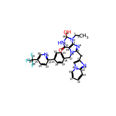 CCN1c2nc(Cc3cn4ccccc4n3)n(Cc3ccc(-c4ccc(C(F)(F)F)cn4)cc3)c2C(=O)NC1O